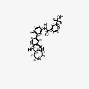 Cc1ccc(NC(=O)c2ccnc(C(C)(C)O)c2)cc1-c1cnc(NC2CCCOCC2)c(C#N)c1